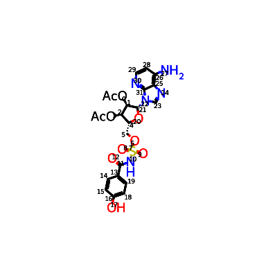 CC(=O)O[C@@H]1[C@H](OC(C)=O)[C@@H](COS(=O)(=O)NC(=O)c2ccc(O)cc2)O[C@H]1n1cnc2c(N)ccnc21